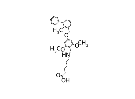 COc1cc(OCc2cccc(-c3ccccc3)c2C)cc(OC)c1CNCCCCCC(=O)O